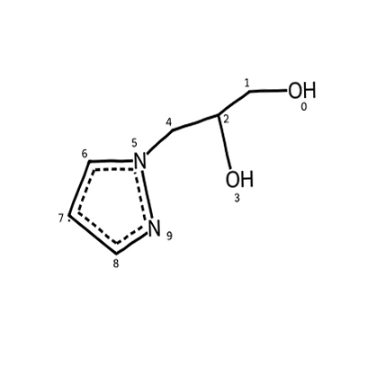 OCC(O)Cn1c[c]cn1